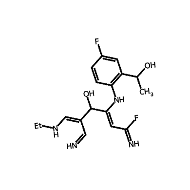 CCN/C=C(\C=N)C(O)/C(=C/C(=N)F)Nc1ccc(F)cc1C(C)O